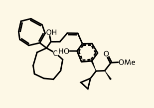 COC(=O)[C@@H](C)[C@H](c1ccc(/C=C\CC(O)C2(C3=C/C=C\C=C/C=C\3)CCCCCCCC2)c(O)c1)C1CC1